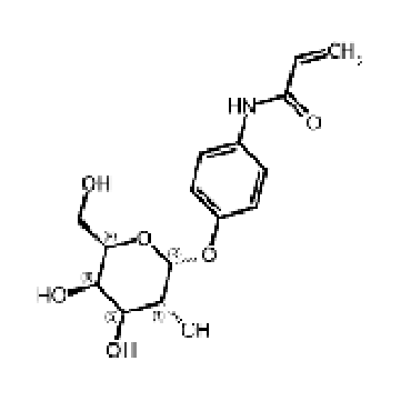 C=CC(=O)Nc1ccc(O[C@H]2O[C@H](CO)[C@H](O)[C@H](O)[C@H]2O)cc1